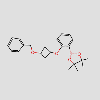 CC1(C)OB(c2ccccc2OC2CC(OCc3ccccc3)C2)OC1(C)C